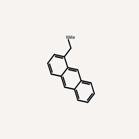 CNCc1cccc2cc3ccccc3cc12